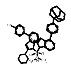 CCC1=Cc2c(-c3ccc(C45CC6CC(CC(C6)C4)C5)cc3)cccc2[CH]1[Zr]([Cl])([Cl])([CH]1C(C2CCCCC2)=Cc2c(-c3ccc(C(C)C)cc3)cccc21)[SiH](C)C